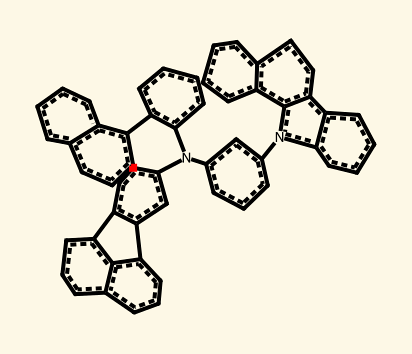 c1cc(N(c2ccc3c(c2)-c2cccc4cccc-3c24)c2ccccc2-c2cccc3ccccc23)cc(-n2c3ccccc3c3ccc4ccccc4c32)c1